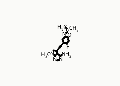 CN(C)c1nc2cc(C#Cc3cn(C)c4ncnc(N)c34)c(F)cc2o1